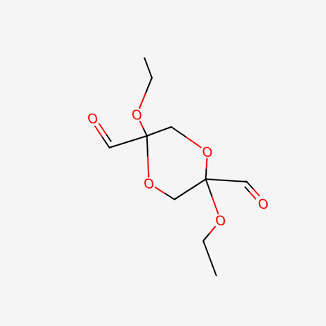 CCOC1(C=O)COC(C=O)(OCC)CO1